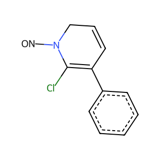 O=NN1CC=CC(c2ccccc2)=C1Cl